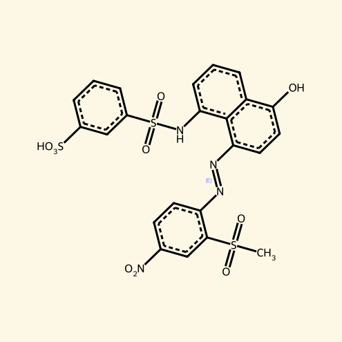 CS(=O)(=O)c1cc([N+](=O)[O-])ccc1/N=N/c1ccc(O)c2cccc(NS(=O)(=O)c3cccc(S(=O)(=O)O)c3)c12